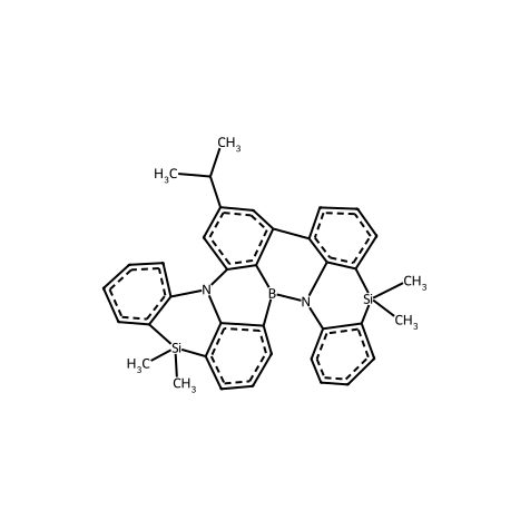 CC(C)c1cc2c3c(c1)N1c4ccccc4[Si](C)(C)c4cccc(c41)B3N1c3ccccc3[Si](C)(C)c3cccc-2c31